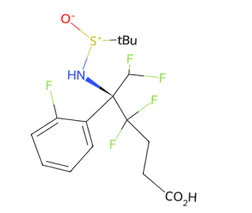 CC(C)(C)[S+]([O-])N[C@@](c1ccccc1F)(C(F)F)C(F)(F)CCC(=O)O